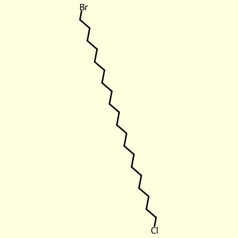 ClCCCCCCCCCCCCCCCCCCCCBr